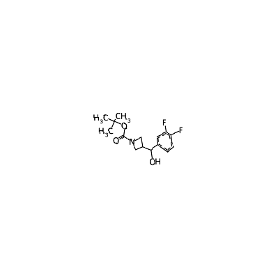 CC(C)(C)OC(=O)N1CC(C(O)c2ccc(F)c(F)c2)C1